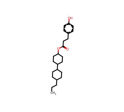 CCCC1CCC(C2CCC(OC(=O)CCc3ccc(O)cc3)CC2)CC1